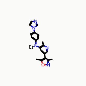 CCN(c1ccc(-n2ccnc2)cc1)c1cc(-c2c(C)noc2C)cnc1C